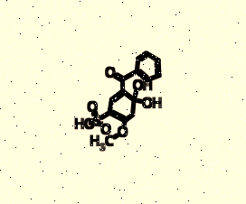 COC1=C(S(=O)(=O)O)C=C(C(=O)c2ccccc2)C(O)(O)C1